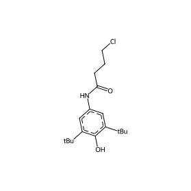 CC(C)(C)c1cc(NC(=O)CCCCl)cc(C(C)(C)C)c1O